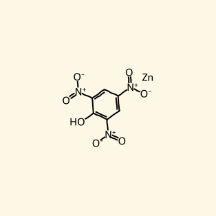 O=[N+]([O-])c1cc([N+](=O)[O-])c(O)c([N+](=O)[O-])c1.[Zn]